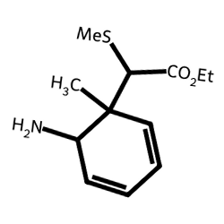 CCOC(=O)C(SC)C1(C)C=CC=CC1N